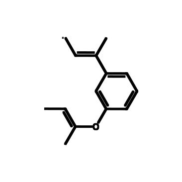 [CH2]C=C(C)c1cccc(OC(C)=CC)c1